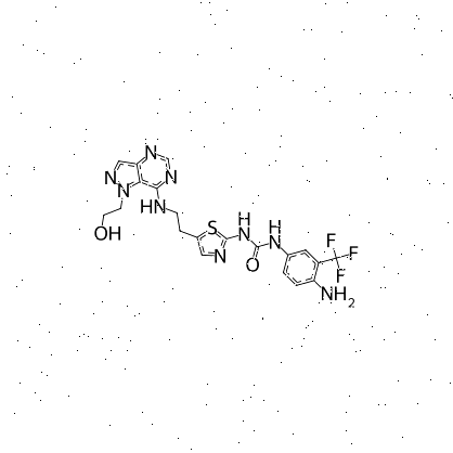 Nc1ccc(NC(=O)Nc2ncc(CCNc3ncnc4cnn(CCO)c34)s2)cc1C(F)(F)F